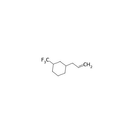 C=CCC1CCCC(C(F)(F)F)C1